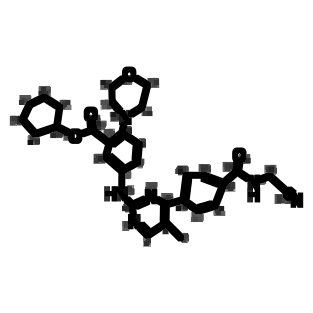 Cc1cnc(Nc2ccc(N3CCOCC3)c(C(=O)OC3CCCCC3)c2)nc1-c1ccc(C(=O)NCC#N)cc1